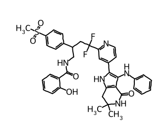 CC1(C)Cc2[nH]c(-c3ccnc(C(F)(F)CC(CNC(=O)c4ccccc4O)c4ccc(S(C)(=O)=O)cc4)c3)c(Nc3ccccc3)c2C(=O)N1